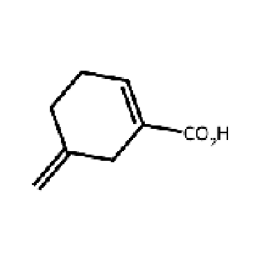 C=C1CCC=C(C(=O)O)C1